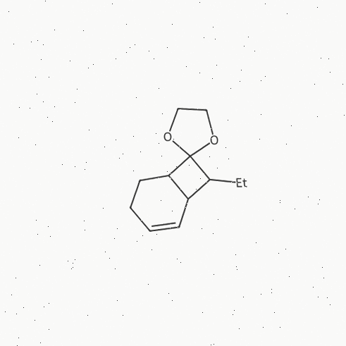 CCC1C2C=CCCC2C12OCCO2